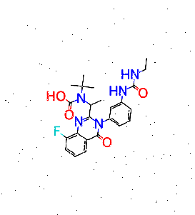 CCNC(=O)Nc1cccc(-n2c(C(C)N(C(=O)O)C(C)(C)C)nc3c(F)cccc3c2=O)c1